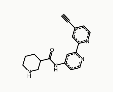 C#Cc1ccnc(-c2cc(NC(=O)C3CCCNC3)ccn2)c1